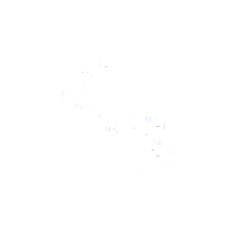 C[C@H](Nc1ccc(-c2cc(-c3ccc(N[C@@H](C)C(=O)NC(=O)[C@](C)(O)c4ccccc4)cc3)[nH]n2)cc1)C(=O)NC(=O)[C@](C)(O)c1ccccc1